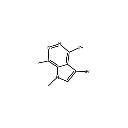 Cc1nnc(C(C)C)c2c(C(C)C)cn(C)c12